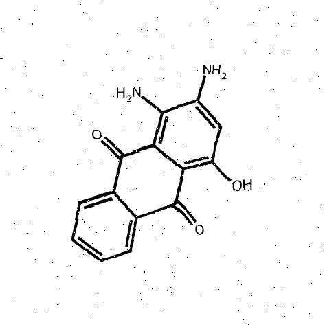 Nc1cc(O)c2c(c1N)C(=O)c1ccccc1C2=O